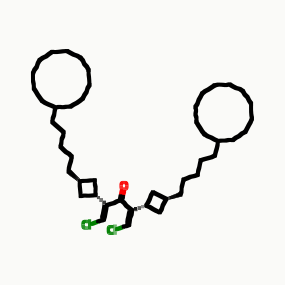 O=C(C(=CCl)[C@H]1C[C@H](CCCCCC2CCCCCCCCCCC2)C1)C(=CCl)[C@H]1C[C@H](CCCCCC2CCCCCCCCCCC2)C1